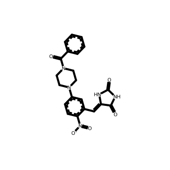 O=C1NC(=O)C(=Cc2cc(N3CCN(C(=O)c4ccccc4)CC3)ccc2[N+](=O)[O-])N1